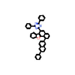 c1ccc(-c2ccc3cc(-c4cccc5cc(-c6nc(-c7ccccc7)nc(-c7ccccc7)n6)c6c7ccccc7oc6c45)ccc3c2)cc1